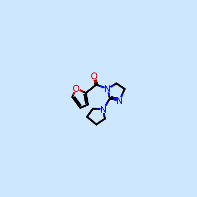 O=C(c1ccco1)N1CCN=C1N1CCCC1